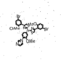 COc1ccc(Br)cc1-c1csc(N(c2ccc(-n3ccnc3)c(OC)c2)c2nc(-c3cc(Br)ccc3OC)cs2)n1